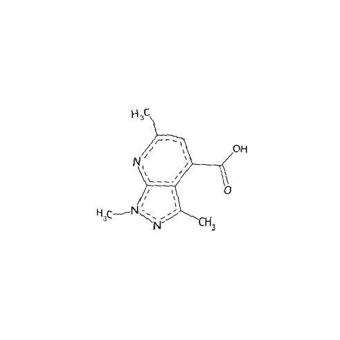 Cc1cc(C(=O)O)c2c(C)nn(C)c2n1